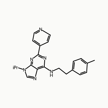 Cc1ccc(CCNc2nc(-c3ccncc3)nc3c2ncn3C(C)C)cc1